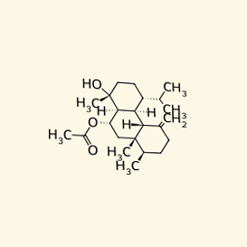 C=C1CC[C@@H](C)[C@]2(C)C[C@H](OC(C)=O)[C@@H]3[C@@H]([C@@H](C(C)C)CC[C@@]3(C)O)[C@H]12